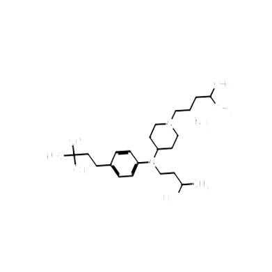 CC(C)CCN(c1ccc(CCC(C)(C)C)cc1)C1CCN(C[C@@H](N)CC(C)C)CC1